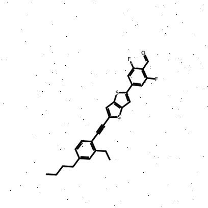 CCCCc1ccc(C#Cc2cc3sc(-c4cc(F)c(C=O)c(F)c4)cc3s2)c(CC)c1